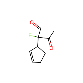 CC(=O)C(F)(C=O)C1C=CCC1